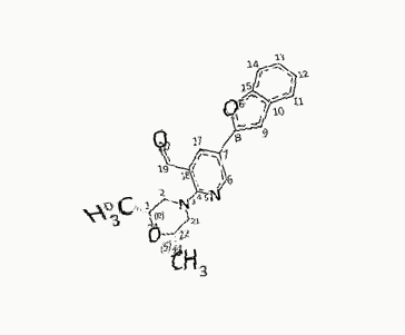 C[C@@H]1CN(c2ncc(-c3cc4ccccc4o3)cc2C=O)C[C@H](C)O1